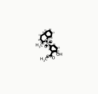 COC(=O)c1cc(S(=O)(=O)N2c3ccccc3CCC2C)ccc1O